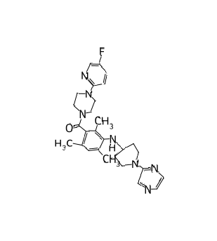 Cc1cc(C)c(C(=O)N2CCN(c3ccc(F)cn3)CC2)c(C)c1NC1CCN(c2cnccn2)CC1